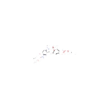 COC(=O)Cc1ccc(CC2CN(C)c3ccc(NC(=O)OC4CCCC4)cc32)c(OC)c1